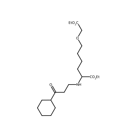 CCOC(=O)COCCCCC(NCCC(=O)C1CCCCC1)C(=O)OCC